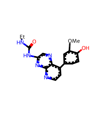 CCNC(=O)Nc1cnc2c(-c3ccc(O)c(OC)c3)ccnc2n1